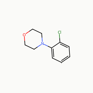 Clc1cc[c]cc1N1CCOCC1